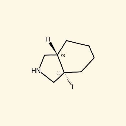 I[C@@]12CCCC[C@H]1CNC2